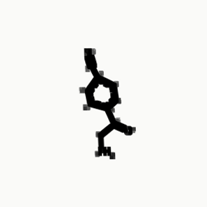 N#Cc1ccc(C(=O)CP)cc1